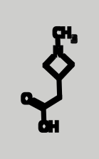 CN1CC(CC(=O)O)C1